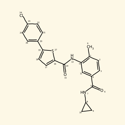 Cc1ccc(C(=O)NC2CC2)cc1NC(=O)c1ccc(-c2ccc(Cl)cc2)s1